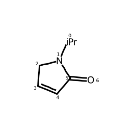 CC(C)N1CC=CC1=O